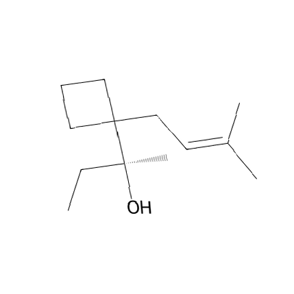 CC[C@](C)(O)C1(CC=C(C)C)CCC1